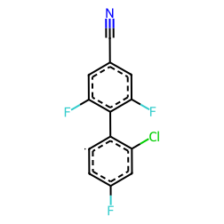 N#Cc1cc(F)c(-c2[c]cc(F)cc2Cl)c(F)c1